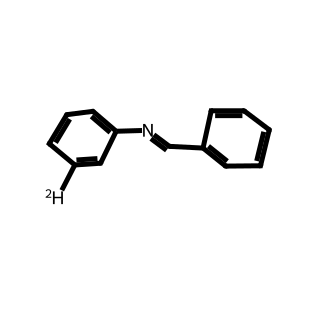 [2H]c1cccc(N=Cc2ccccc2)c1